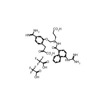 N=C(N)Nc1ccc(C(=O)N[C@H](CCC(=O)O)COc2cc(C(=N)N)ccc2CC(=O)C(=O)O)c2ccccc12.O=C(O)C(F)(F)F.O=C(O)C(F)(F)F